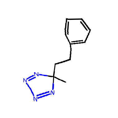 CC1(CCc2ccccc2)N=NN=N1